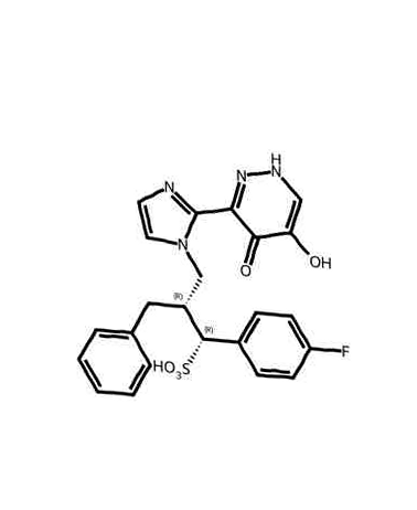 O=c1c(O)c[nH]nc1-c1nccn1C[C@@H](Cc1ccccc1)[C@H](c1ccc(F)cc1)S(=O)(=O)O